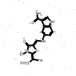 CCOC(=O)C(C#N)=c1sc(=CNc2ccc3[nH]cc(C(N)=O)c3c2)c(=O)n1CC